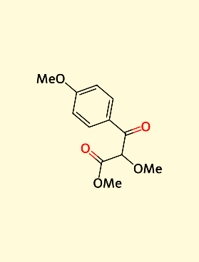 COC(=O)C(OC)C(=O)c1ccc(OC)cc1